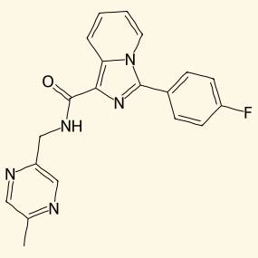 Cc1cnc(CNC(=O)c2nc(-c3ccc(F)cc3)n3ccccc23)cn1